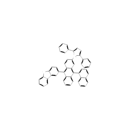 c1ccc(-c2ccc(-c3ccccc3)n2-c2ccc3c(-c4ccc5oc6ccccc6c5c4)c4ccccc4c(-c4cccc5ccccc45)c3c2)cc1